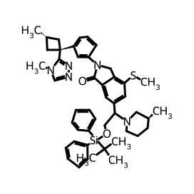 CSc1cc(C(CO[Si](c2ccccc2)(c2ccccc2)C(C)(C)C)N2CCC[C@H](C)C2)cc2c1CN(c1cccc([C@]3(c4nncn4C)C[C@@H](C)C3)c1)C2=O